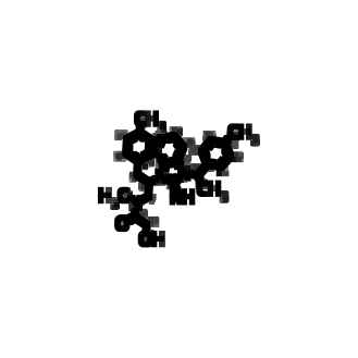 Cc1ccc(CC(CN(C)C(=O)CO)n2c(=N)n(C(C)c3ccc(C)cc3)c3cccnc32)cc1